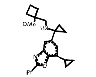 COC1(CNC2(c3cc(C4CC4)c4oc(C(C)C)nc4c3)CC2)CCC1